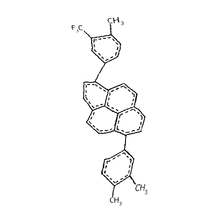 Cc1ccc(-c2ccc3ccc4c(-c5ccc(C)c(C(F)(F)F)c5)ccc5ccc2c3c54)cc1C